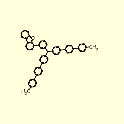 Cc1ccc(-c2ccc(-c3ccc(C(c4ccc(-c5ccc(-c6ccc(C)cc6)cc5)cc4)c4cccc(-c5cccc6c5oc5ccccc56)c4)cc3)cc2)cc1